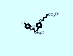 CCCCCCCN(Cc1ccc(OCCCCC(=O)OCC)cc1)C(=O)Nc1ccc(Cl)cc1